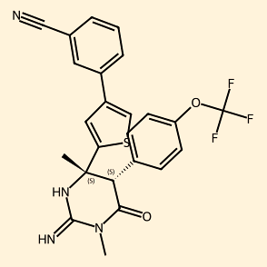 CN1C(=N)N[C@](C)(c2cc(-c3cccc(C#N)c3)cs2)[C@H](c2ccc(OC(F)(F)F)cc2)C1=O